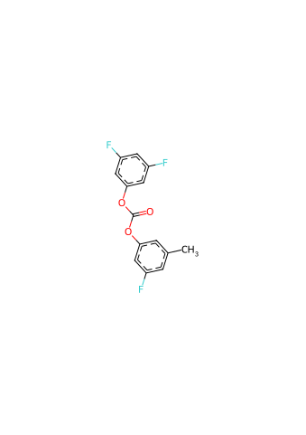 Cc1cc(F)cc(OC(=O)Oc2cc(F)cc(F)c2)c1